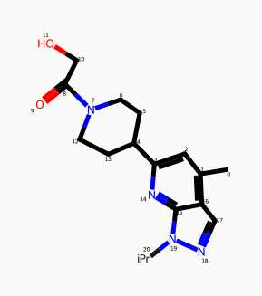 Cc1cc(C2CCN(C(=O)CO)CC2)nc2c1cnn2C(C)C